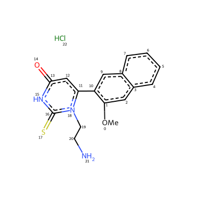 COc1cc2ccccc2cc1-c1cc(=O)[nH]c(=S)n1CCN.Cl